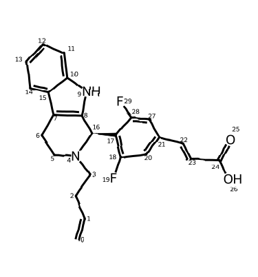 C=CCCN1CCc2c([nH]c3ccccc23)[C@H]1c1c(F)cc(/C=C/C(=O)O)cc1F